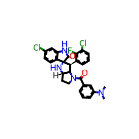 CN(C)c1cccc(C(=O)N2CC[C@@H]3N[C@@]4(C(=O)Nc5cc(Cl)ccc54)[C@@H](c4cccc(Cl)c4F)C32)c1